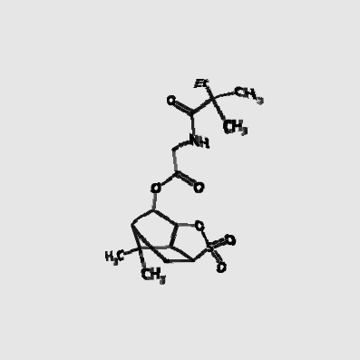 CCC(C)(C)C(=O)NCC(=O)OC1C2OS(=O)(=O)C3CC1C(C)(C)C23